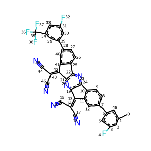 Cc1cc(F)cc(-c2ccc3c(c2)C(=C(C#N)C#N)c2nc4c(nc2-3)-c2ccc(-c3cc(F)cc(C(F)(F)F)c3)cc2C4=C(C#N)C#N)c1